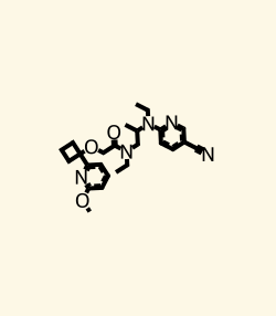 CCN(CC(C)N(CC)c1ccc(C#N)cn1)C(=O)COC1(c2cccc(OC)n2)CCC1